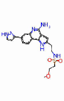 COCCS(=O)(=O)NCCc1cc2c(N)nc3cc(-c4cc[nH]n4)ccc3c2[nH]1